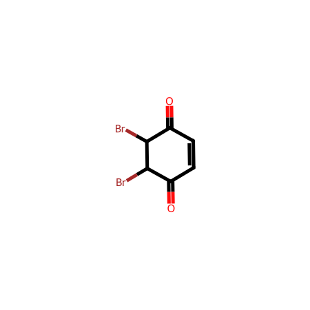 O=C1C=CC(=O)C(Br)C1Br